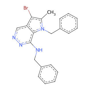 Cc1c(Br)c2cnnc(NCc3ccccc3)c2n1Cc1ccccc1